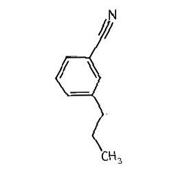 CC[CH]c1cccc(C#N)c1